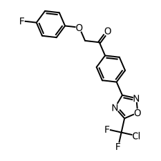 O=C(COc1ccc(F)cc1)c1ccc(-c2noc(C(F)(F)Cl)n2)cc1